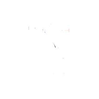 CN1C[C@H](CCc2ccccc2)[C@@H](O)C1